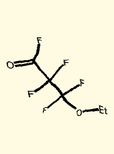 CCOC(F)(F)C(F)(F)C(=O)F